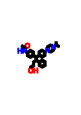 CC(=O)Nc1ccc(/C(C2=CC=C(N3CCN(C(C)C)CC3)CC2)=C(\CCCO)c2ccccc2)cc1